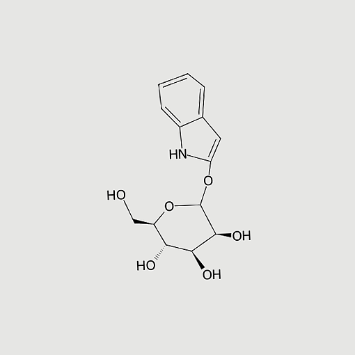 OC[C@H]1OC(Oc2cc3ccccc3[nH]2)[C@@H](O)[C@@H](O)[C@@H]1O